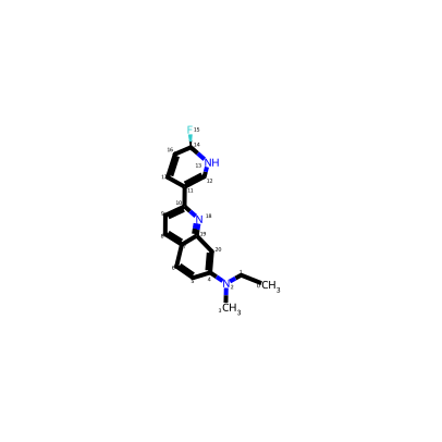 CCN(C)c1ccc2ccc(C3=CN[C@H](F)C=C3)nc2c1